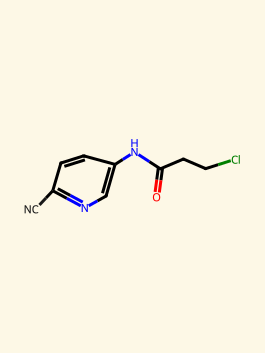 N#Cc1ccc(NC(=O)CCCl)cn1